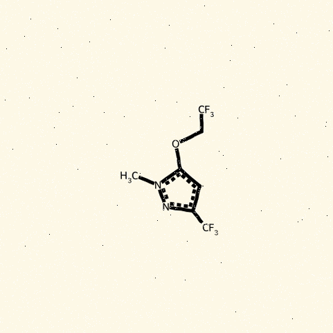 Cn1nc(C(F)(F)F)[c]c1OCC(F)(F)F